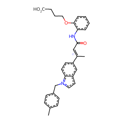 C/C(=C\C(=O)Nc1ccccc1OCCCC(=O)O)c1ccc2c(ccn2Cc2ccc(C)cc2)c1